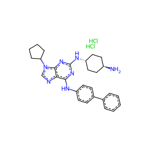 Cl.Cl.N[C@H]1CC[C@H](Nc2nc(Nc3ccc(-c4ccccc4)cc3)c3ncn(C4CCCC4)c3n2)CC1